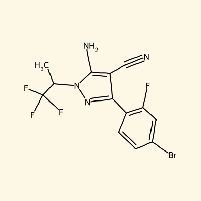 CC(n1nc(-c2ccc(Br)cc2F)c(C#N)c1N)C(F)(F)F